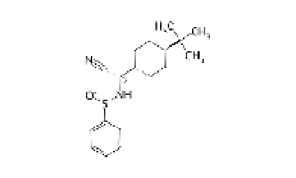 CC(C)(C)[C@H]1CC[C@H]([C@@H](C#N)N[S+]([O-])c2ccccc2)CC1